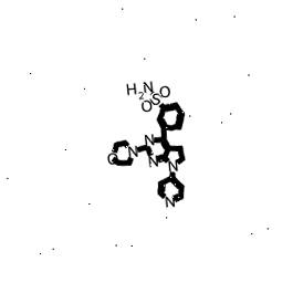 NS(=O)(=O)c1cccc(-c2nc(N3CCOCC3)nc3c2CCN3c2ccncc2)c1